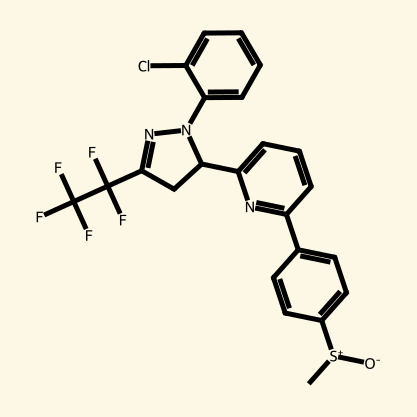 C[S+]([O-])c1ccc(-c2cccc(C3CC(C(F)(F)C(F)(F)F)=NN3c3ccccc3Cl)n2)cc1